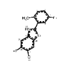 Cc1ccc(F)cc1-c1nc2cc(Cl)c(F)cc2[nH]1